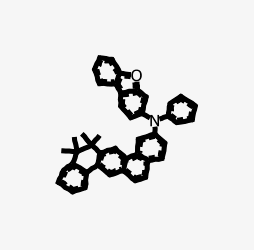 CC1(C)c2ccccc2-c2cc3ccc4ccc(N(c5ccccc5)c5ccc6c(c5)oc5ccccc56)cc4c3cc2C1(C)C